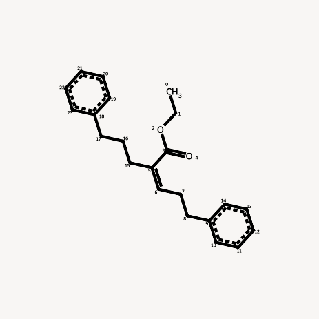 CCOC(=O)C(=CCCc1ccccc1)CCCc1ccccc1